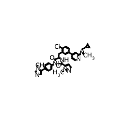 CN(CC1CC1)c1cc(-c2ccc(Cl)c(CC(NC(=O)c3ccnn3C)C(=O)Nc3ccc(-c4cncn4C)cc3)c2)ccn1